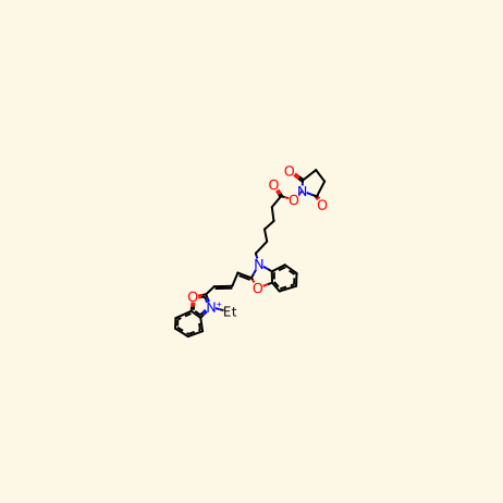 CC[n+]1c(C=CC=C2Oc3ccccc3N2CCCCCC(=O)ON2C(=O)CCC2=O)oc2ccccc21